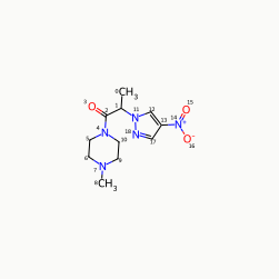 CC(C(=O)N1CCN(C)CC1)n1cc([N+](=O)[O-])cn1